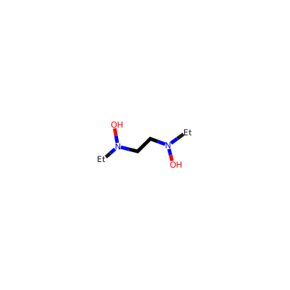 CCN(O)CCN(O)CC